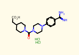 Cl.Cl.N=C(N)c1ccc(N2CCN(C(=O)N3CCC(CC(=O)O)CC3)CC2)cc1